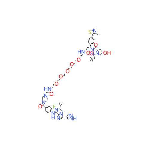 Cc1ncsc1-c1ccc([C@H](CC(=O)NCCOCCOCCOCCOCCOCCNC(=O)CN2CCN(C(=O)c3ccc(Nc4nc(C5CC5)cn5c(-c6cn[nH]c6)cnc45)c(F)c3)CC2)NC(=O)[C@@H]2C[C@@H](O)CN2C(=O)CC(C)(C)C)cc1